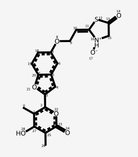 Cc1c(-c2cc3cc(OCC=C4SC(=O)C[NH+]4[O-])ccc3o2)oc(=O)c(C)c1O